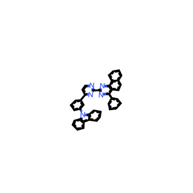 c1ccc(-c2nc(-c3nccc(-c4cccc(-n5c6ccccc6c6ccccc65)c4)n3)nc3c2ccc2ccccc23)cc1